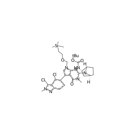 Cn1nc2ccc(-c3cn(COCC[Si](C)(C)C)c4nc(N5[C@H]6CC[C@@H]5[C@@H](NC(=O)OC(C)(C)C)C6)n(C)c(=O)c34)c(Cl)c2c1Cl